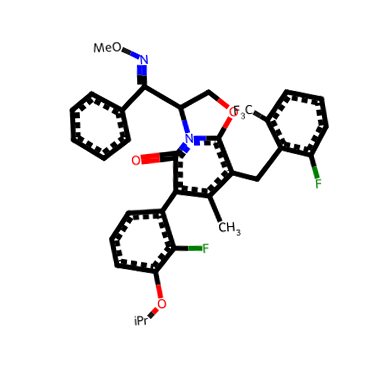 CO/N=C(\c1ccccc1)C1COc2c(Cc3c(F)cccc3C(F)(F)F)c(C)c(-c3cccc(OC(C)C)c3F)c(=O)n21